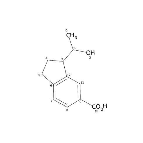 CC(O)C1CCc2ccc(C(=O)O)cc21